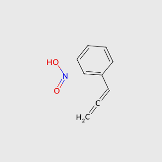 C=C=Cc1ccccc1.O=NO